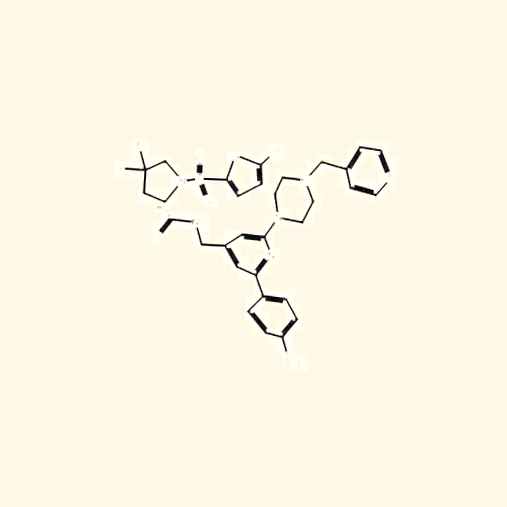 O=C(NCc1cc(-c2ccc(C(F)(F)F)cc2)nc(N2CCN(Cc3ccncc3)CC2)c1)[C@@H]1CC(F)(F)CN1S(=O)(=O)c1ccc(Cl)s1